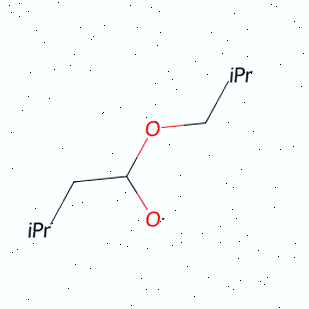 CC(C)COC([O])CC(C)C